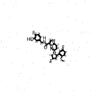 CSc1ccc(F)cc1C1CC(F)CN1c1ccc2ncc(C(=O)NCc3ccc(F)c(O)c3)n2n1